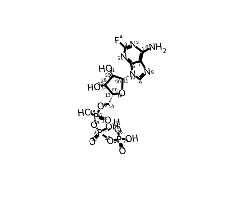 Nc1nc(F)nc2c1ncn2[C@@H]1O[C@H](COP(=O)(O)OP(=O)(O)OP(=O)(O)O)[C@@H](O)[C@@H]1O